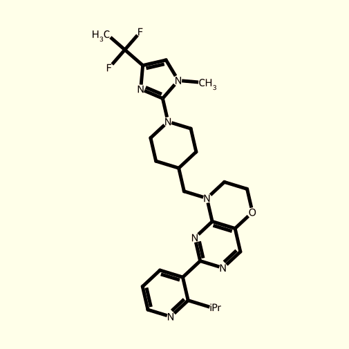 CC(C)c1ncccc1-c1ncc2c(n1)N(CC1CCN(c3nc(C(C)(F)F)cn3C)CC1)CCO2